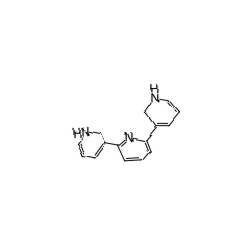 C1=CNCC(c2cccc(C3=CC=CNC3)n2)=C1